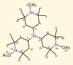 CC(=O)ON1C(C)(C)CC(N(C2CC(C)(C)N(OC(C)=O)C(C)(C)C2)C2CC(C)(C)N(OC(C)=O)C(C)(C)C2)CC1(C)C